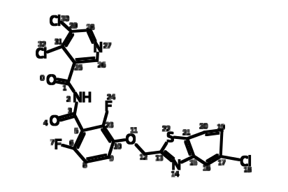 O=C(NC(=O)c1c(F)ccc(OCc2nc3cc(Cl)ccc3s2)c1F)c1cncc(Cl)c1Cl